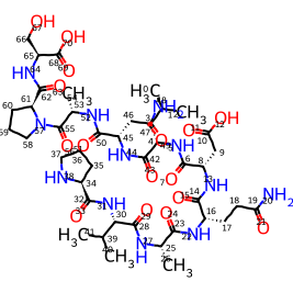 CC(C)C[C@H](NC(=O)[C@H](CC(=O)O)NC(=O)[C@H](CCC(N)=O)NC(=O)[C@H](C)NC(=O)[C@@H](NC(=O)[C@@H]1CCCN1)C(C)C)C(=O)N[C@@H](CC(N)=O)C(=O)N[C@@H](C)C(=O)N1CCC[C@H]1C(=O)N[C@@H](CO)C(=O)O